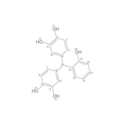 Oc1ccc(C(c2ccc(O)c(O)c2)c2ccccc2O)cc1O